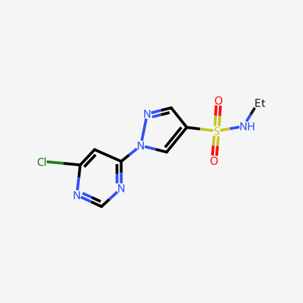 CCNS(=O)(=O)c1cnn(-c2cc(Cl)ncn2)c1